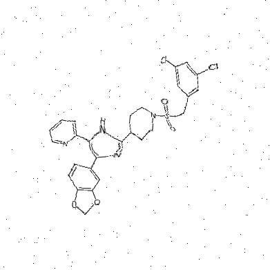 O=S(=O)(Cc1cc(Cl)cc(Cl)c1)N1CCC(c2nc(-c3ccc4c(c3)OCO4)c(-c3ccccn3)[nH]2)CC1